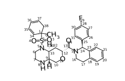 CC1(S(=O)(=O)N2CCN[C@H]3CO[C@@H](C(=O)N4CCc5ccccc5[C@@H]4c4ccc(F)cc4)C[C@@H]32)C=CC=CC1